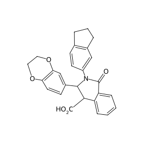 O=C(O)C1c2ccccc2C(=O)N(c2ccc3c(c2)CCC3)C1c1ccc2c(c1)OCCO2